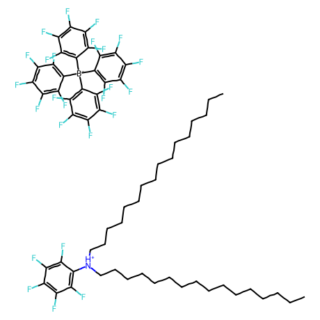 CCCCCCCCCCCCCCCC[NH+](CCCCCCCCCCCCCCCC)c1c(F)c(F)c(F)c(F)c1F.Fc1c(F)c(F)c([B-](c2c(F)c(F)c(F)c(F)c2F)(c2c(F)c(F)c(F)c(F)c2F)c2c(F)c(F)c(F)c(F)c2F)c(F)c1F